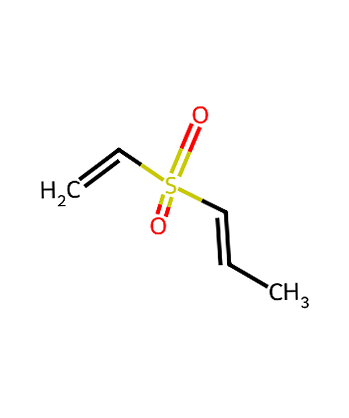 C=CS(=O)(=O)C=CC